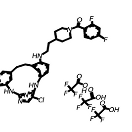 O=C(O)C(F)(F)F.O=C(O)C(F)(F)F.O=C(O)C(F)(F)F.O=C(c1ccc(F)cc1F)N1CCC(CCNc2ccc3cc2CCc2cncc(c2)Nc2ncc(Cl)c(n2)N3)CC1